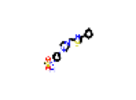 CS(=O)(=O)Nc1ccc(N2CCN(Cc3nc(-c4ccccc4)cs3)CC2)cc1